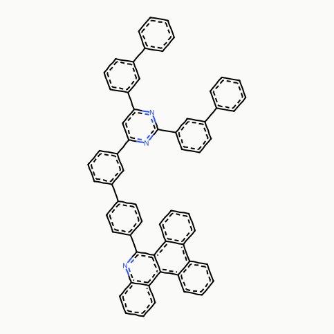 c1ccc(-c2cccc(-c3cc(-c4cccc(-c5ccc(-c6nc7ccccc7c7c8ccccc8c8ccccc8c67)cc5)c4)nc(-c4cccc(-c5ccccc5)c4)n3)c2)cc1